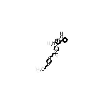 CCCCN1CCN(CCCC(=O)N2CCN(c3cc(-c4ccccc4O)nnc3N)CC2)CC1